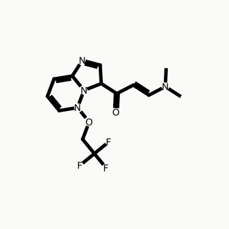 CN(C)C=CC(=O)C1C=NC2=CC=CN(OCC(F)(F)F)N21